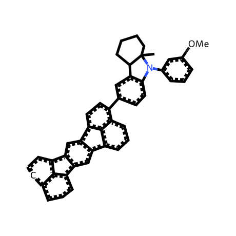 COc1cccc(N2c3ccc(-c4ccc5c6cc7c(cc6c6cccc4c65)c4cccc5cccc7c54)cc3C3CCCCC32C)c1